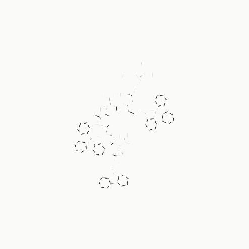 C/C=C(/NC(=O)[C@@H](CSC(c1ccccc1)(c1ccccc1)c1ccccc1)NC(=O)[C@H](NC(=O)OCC1c2ccccc2-c2ccccc21)C(C)C)C(=O)N[C@H](C(=O)O[C@H](/C=C\CCSC(c1ccccc1)(c1ccccc1)c1ccccc1)CC(=O)OCC[Si](C)(C)C)C(C)C